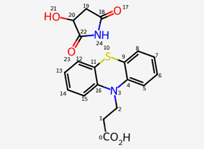 O=C(O)CCN1c2ccccc2Sc2ccccc21.O=C1CC(O)C(=O)N1